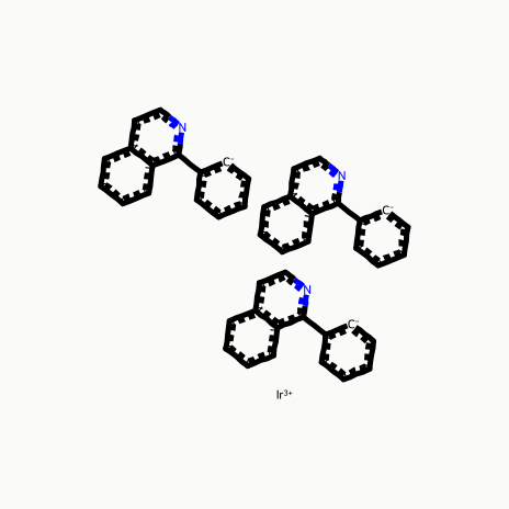 [Ir+3].[c-]1ccccc1-c1nccc2ccccc12.[c-]1ccccc1-c1nccc2ccccc12.[c-]1ccccc1-c1nccc2ccccc12